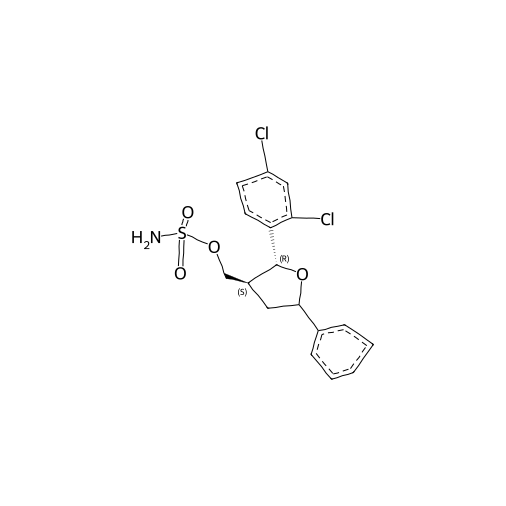 NS(=O)(=O)OC[C@@H]1CC(c2ccccc2)O[C@H]1c1ccc(Cl)cc1Cl